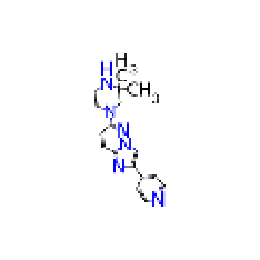 CC1(C)CN(c2ccc3nc(-c4ccncc4)cn3n2)CCN1